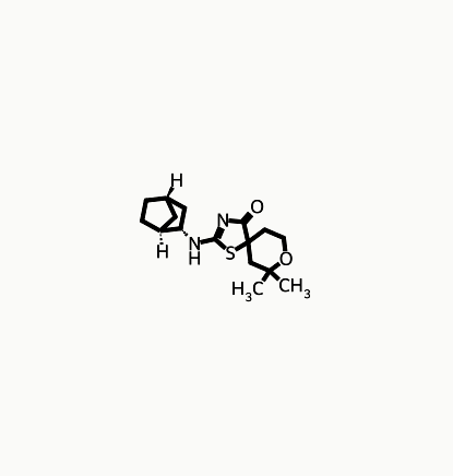 CC1(C)CC2(CCO1)SC(N[C@H]1C[C@H]3CC[C@H]1C3)=NC2=O